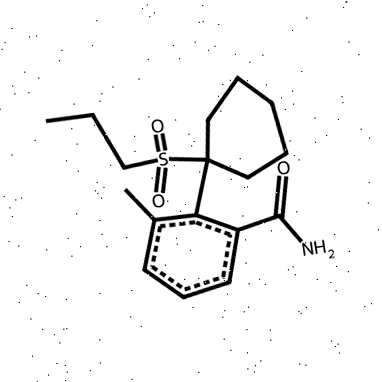 CCCS(=O)(=O)C1(c2c(C)cccc2C(N)=O)CCCCC1